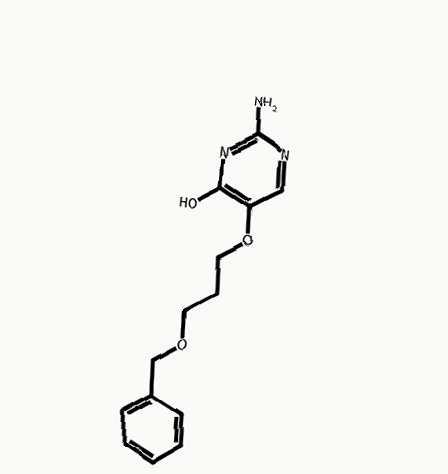 Nc1ncc(OCCCOCc2ccccc2)c(O)n1